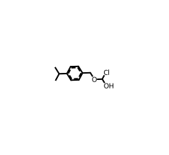 CC(C)c1ccc(COC(O)Cl)cc1